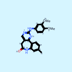 COc1ccc(Nc2ncc3c(n2)-c2ccc(C)cc2NC(=O)C3)cc1OC